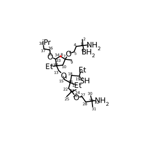 BC(C)(N)CCOC(C)(C)CC(CC)(COCC(CC)(CC(S)CC)CC(C)(C)OCCC(C)(C)N)C(C)OCCC(C)C